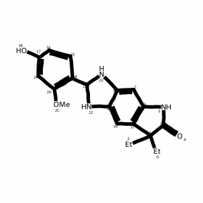 CCC1(CC)C(=O)Nc2cc3c(cc21)NC(c1ccc(O)cc1OC)N3